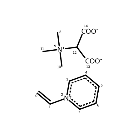 C=C[n+]1ccccc1.C[N+](C)(C)C(C(=O)[O-])C(=O)[O-]